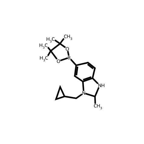 CC1Nc2ccc(B3OC(C)(C)C(C)(C)O3)cc2N1CC1CC1